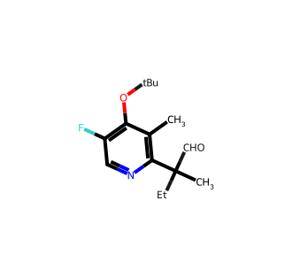 CCC(C)(C=O)c1ncc(F)c(OC(C)(C)C)c1C